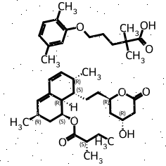 CC[C@H](C)C(=O)O[C@H]1C[C@@H](C)C=C2C=C[C@H](C)[C@H](CC[C@@H]3C[C@@H](O)CC(=O)O3)[C@H]21.Cc1ccc(C)c(OCCCC(C)(C)C(=O)O)c1